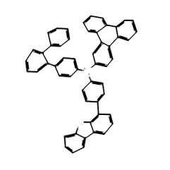 c1ccc(-c2ccccc2-c2ccc(N(c3ccc(-c4cccc5c4sc4ccccc45)cc3)c3ccc4c5ccccc5c5ccccc5c4c3)cc2)cc1